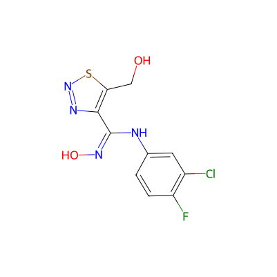 OCc1snnc1/C(=N\O)Nc1ccc(F)c(Cl)c1